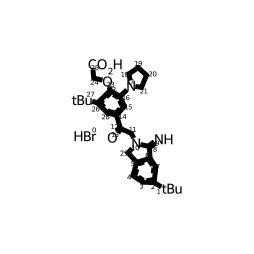 Br.CC(C)(C)c1ccc2c(c1)C(=N)N(CC(=O)c1cc(N3CCCC3)c(OCC(=O)O)c(C(C)(C)C)c1)C2